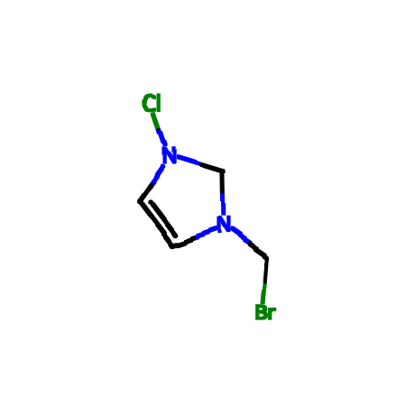 ClN1C=CN(CBr)C1